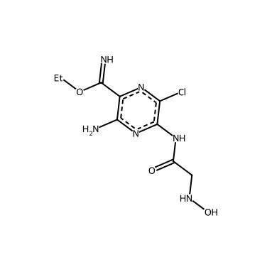 CCOC(=N)c1nc(Cl)c(NC(=O)CNO)nc1N